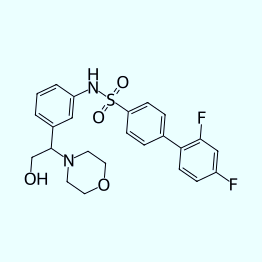 O=S(=O)(Nc1cccc(C(CO)N2CCOCC2)c1)c1ccc(-c2ccc(F)cc2F)cc1